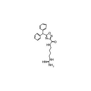 N=C(N)NCCCCNC(=O)c1noc(C(c2ccccc2)c2ccccc2)n1